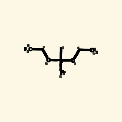 CC(C)C(C)(OCC(F)(F)F)OCC(F)(F)F